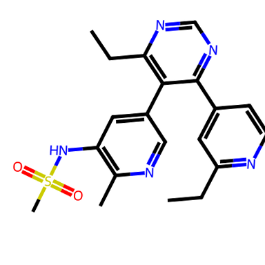 CCc1cc(-c2ncnc(CC)c2-c2cnc(C)c(NS(C)(=O)=O)c2)ccn1